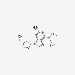 CN(c1nc(N)nc2c1ncn2[C@@H]1C=C[C@H](CO)C1)C1CC1